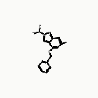 Cc1cc(SCc2ccccc2)c2cn(C(F)F)nc2c1